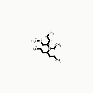 CCCC(CCC)N(CC)C(CCC)COC